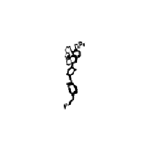 CCCc1ccc2c(c1Cl)C(=O)OC(C1CCC(C3CCC(CCCF)CC3)CC1)C2